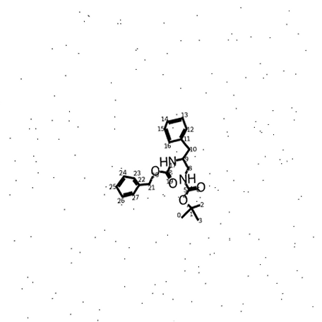 CC(C)(C)OC(=O)NCC(Cc1ccccc1)NC(=O)OCc1ccccc1